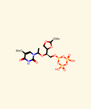 COc1cn(C(C)O[C@H](COP2OP(=O)(O)OP(=O)(O)O2)C2COC(OC)O2)c(=O)[nH]c1=O